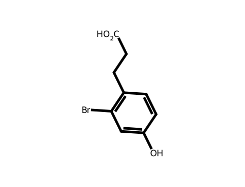 O=C(O)CCc1ccc(O)cc1Br